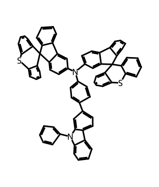 c1ccc(-n2c3ccccc3c3ccc(-c4ccc(N(c5ccc6c(c5)-c5ccccc5C65c6ccccc6Sc6ccccc65)c5ccc6c(c5)C5(c7ccccc7Sc7ccccc75)c5ccccc5-6)cc4)cc32)cc1